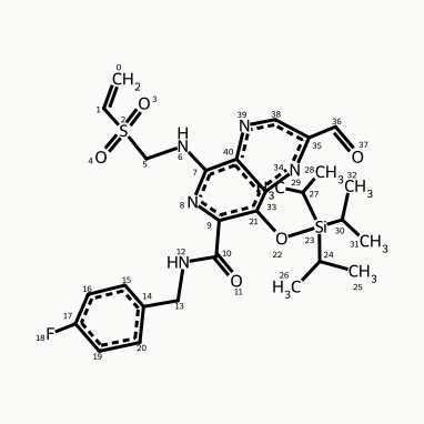 C=CS(=O)(=O)CNc1nc(C(=O)NCc2ccc(F)cc2)c(O[Si](C(C)C)(C(C)C)C(C)C)c2nc(C=O)cnc12